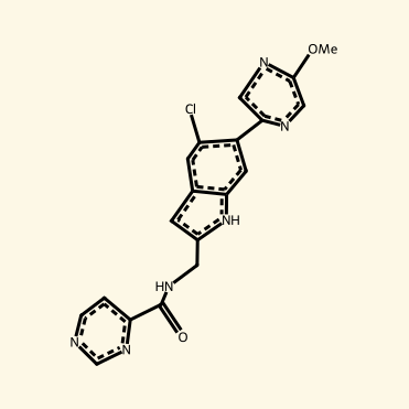 COc1cnc(-c2cc3[nH]c(CNC(=O)c4ccncn4)cc3cc2Cl)cn1